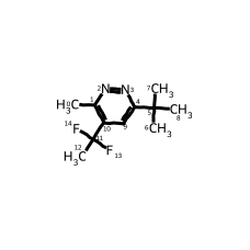 Cc1nnc(C(C)(C)C)cc1C(C)(F)F